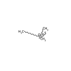 CCCCCCCCCCCCSC(C)(CSC=S)C(=O)OCCCC